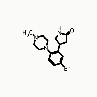 CN1CCN(c2ccc(Br)cc2C2CNC(=O)C2)CC1